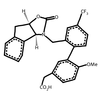 COc1ccc(CC(=O)O)cc1-c1ccc(C(F)(F)F)cc1CN1C(=O)O[C@@H]2Cc3ccccc3[C@@H]21